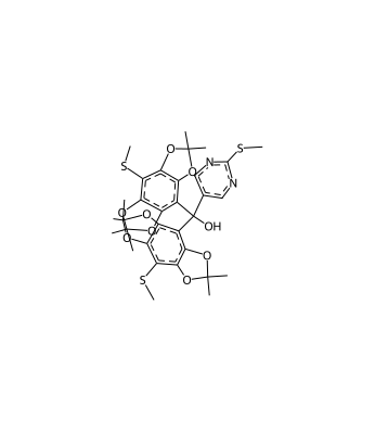 CSc1ncc(C(O)(c2c3c(c(SC)c4c2OC(C)(C)O4)OC(C)(C)O3)c2c3c(c(SC)c4c2OC(C)(C)O4)OC(C)(C)O3)cn1